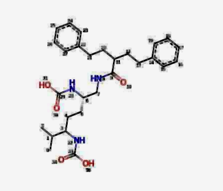 CC(C)C(CC[C@@H](CNC(=O)C(CCc1ccccc1)CCc1ccccc1)NC(=O)O)NC(=O)O